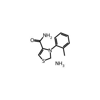 Cc1ccccc1N1CSC=C1C(N)=O.N